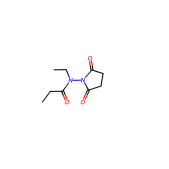 CCC(=O)N(CC)N1C(=O)CCC1=O